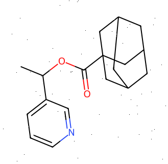 CC(OC(=O)C12CC3CC(CC(C3)C1)C2)c1cccnc1